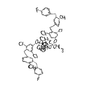 CC(C)(Oc1cc(Cl)c(Cc2ccc(O)c(Cc3ccc(F)cc3)c2)c(Cl)c1)O[PH](=O)OC(C)(C)Oc1cc(Cl)c(Cc2ccc(O)c(Cc3ccc(F)cc3)c2)c(Cl)c1